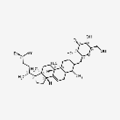 CC[C@H](CC[C@@H](C)[C@H]1CC[C@H]2C3=CCC4C(C)C(O[C@@H]5O[C@H](CO)[C@@H](O)[C@H](O)[C@H]5O)CC[C@]4(C)[C@H]3CC[C@]12C)C(C)C